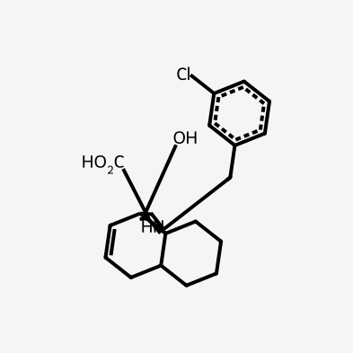 O=C(O)C1=C2C=CCC3CCCCC23NC(Cc2cccc(Cl)c2)=C1O